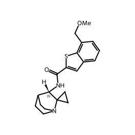 COCc1cccc2cc(C(=O)N[C@H]3C4CCN(CC4)C34CC4)sc12